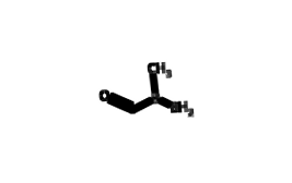 BB(C)C=O